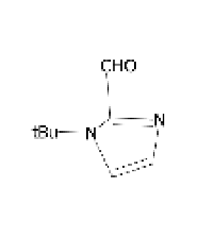 CC(C)(C)n1ccnc1C=O